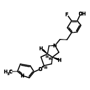 Cc1ccc(O[C@H]2C[C@@H]3CN(CCc4ccc(O)c(F)c4)C[C@@H]3C2)cn1